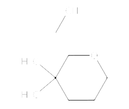 CC[C@@H]1OCCCC1(C)C